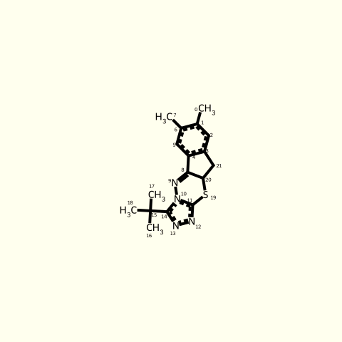 Cc1cc2c(cc1C)C1=Nn3c(nnc3C(C)(C)C)SC1C2